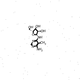 Cc1c(N)ncnc1N[C@@H]1O[C@H](CO)[C@@H](O)[C@H]1O